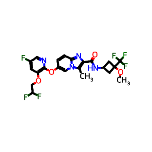 COC1(C(F)(F)F)CC(NC(=O)c2nc3ccc(Oc4ncc(F)cc4OCC(F)F)cn3c2C)C1